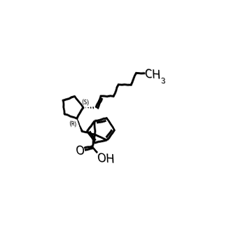 CCCCCC=C[C@H]1CCC[C@@H]1CC1(C(=O)O)C2=CC=C1C=C2